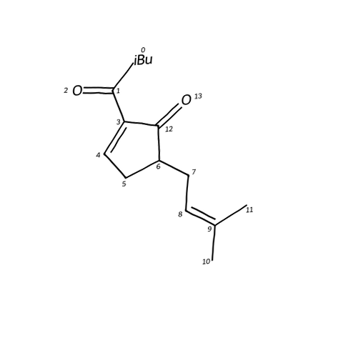 CCC(C)C(=O)C1=CCC(CC=C(C)C)C1=O